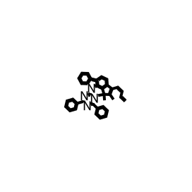 C=C/C=C\C1=C(C)C(C)(C)c2c1ccc1c3ccccc3n(-c3nc(-c4ccccc4)nc(-c4ccccc4)n3)c21